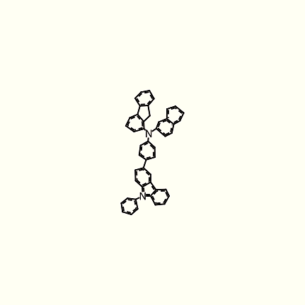 c1ccc(-n2c3ccccc3c3cc(-c4ccc(N(c5ccc6ccccc6c5)c5cccc6c5Cc5ccccc5-6)cc4)ccc32)cc1